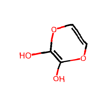 OC1=C(O)OC=CO1